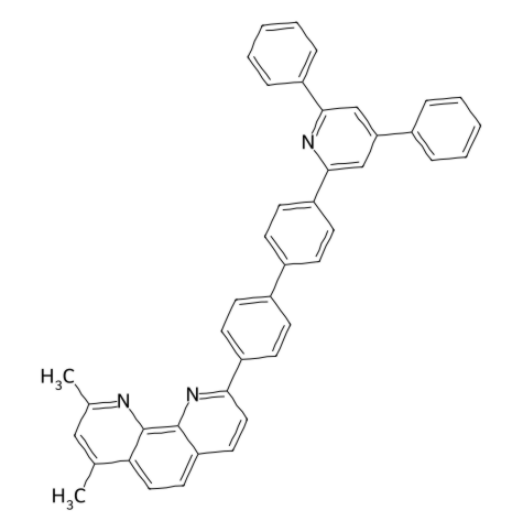 Cc1cc(C)c2ccc3ccc(-c4ccc(-c5ccc(-c6cc(-c7ccccc7)cc(-c7ccccc7)n6)cc5)cc4)nc3c2n1